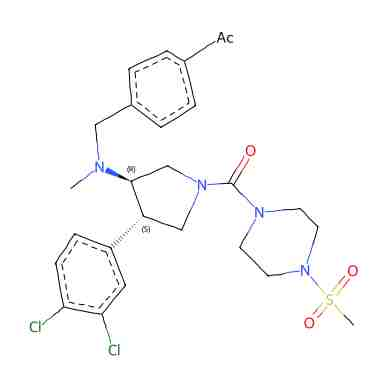 CC(=O)c1ccc(CN(C)[C@H]2CN(C(=O)N3CCN(S(C)(=O)=O)CC3)C[C@@H]2c2ccc(Cl)c(Cl)c2)cc1